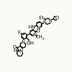 CCC1CN(C2COC2)CCN1c1ccc(Nc2cc(-c3cc(F)cc(N4CCC5=C(C4)C(=O)[C@@H]4CCCCN54)c3CO)cn(C)c2=O)nc1